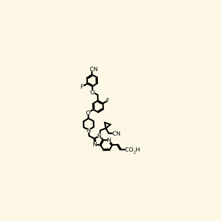 N#CCC1(Cn2c(CN3CCC(Oc4ccc(F)c(COc5ccc(C#N)cc5F)c4)CC3)nc3ccc(/C=C/C(=O)O)nc32)CC1